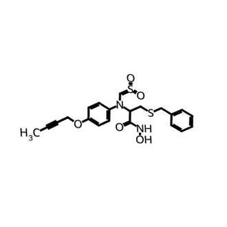 CC#CCOc1ccc(N(C=S(=O)=O)C(CSCc2ccccc2)C(=O)NO)cc1